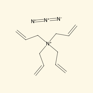 C=CC[N+](CC=C)(CC=C)CC=C.[N-]=[N+]=[N-]